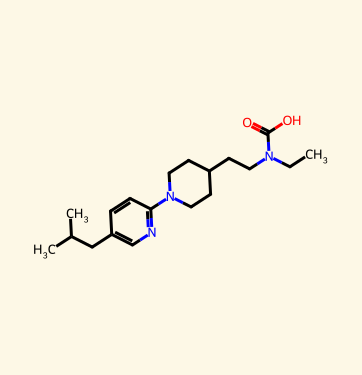 CCN(CCC1CCN(c2ccc(CC(C)C)cn2)CC1)C(=O)O